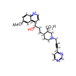 COc1ccc2nccc([C@@H](O)CC[C@@H]3CCN(CC#Cc4ccncn4)C[C@@H]3C(=O)O)c2c1